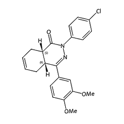 COc1ccc(C2=NN(c3ccc(Cl)cc3)C(=O)[C@H]3CC=CC[C@@H]23)cc1OC